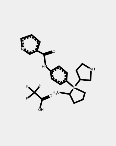 CC1CCC[N+]1(c1ccc(NC(=O)c2cccnc2)cc1)C1CCNC1.O=C(O)C(F)(F)F